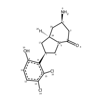 N[C@H]1CC(=O)N2C[C@@H](c3c(O)ccc(Cl)c3Cl)C[C@H]2C1